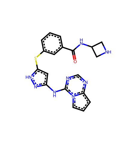 O=C(NC1CNC1)c1cccc(Sc2cc(Nc3ncnc4cccn34)n[nH]2)c1